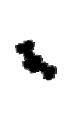 c1ccc(N(c2ccc(-n3c4ccccc4c4ccccc43)cc2)c2cccc3c2c2ccccc2n3-c2ccc(-c3cccc4ccccc34)cc2)cc1